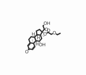 CCOCC(=O)O[C@]1(C(=O)CO)CC[C@H]2[C@@H]3CCC4=CC(=O)C=C[C@]4(C)[C@H]3[C@@H](O)C[C@@]21C